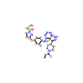 C=CC(=O)N1CCC(c2n[nH]c3ncnc(Nc4ccc(Oc5ccn(S(=O)(=O)C(C)C)n5)cc4F)c23)CC1